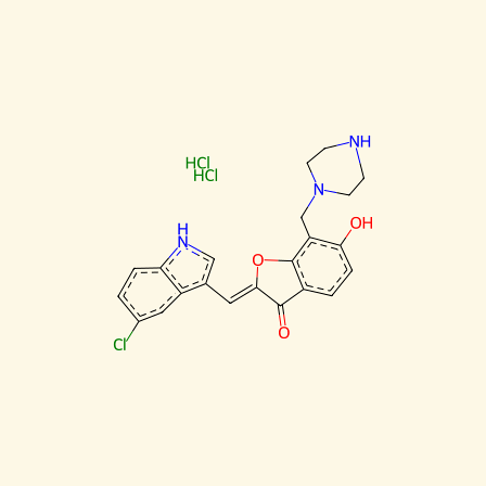 Cl.Cl.O=C1/C(=C/c2c[nH]c3ccc(Cl)cc23)Oc2c1ccc(O)c2CN1CCNCC1